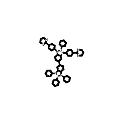 c1ccc(B2N(c3ccccc3)c3ccc(-c4ccc5c(c4)N(c4ccc(-c6ncccn6)cc4)B(c4ccccc4)N5c4ccc(-c5ncccn5)cc4)cc3N2c2ccccc2)cc1